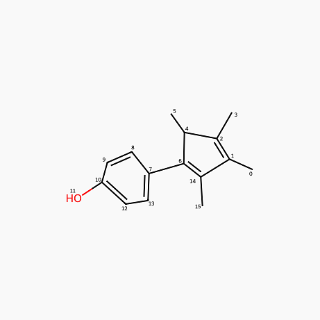 CC1=C(C)C(C)C(c2ccc(O)cc2)=C1C